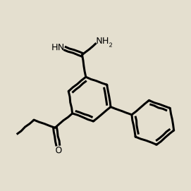 CCC(=O)c1cc(C(=N)N)cc(-c2ccccc2)c1